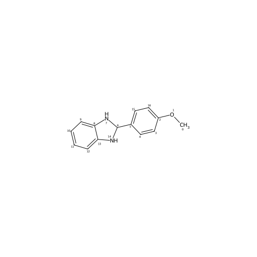 COc1ccc(C2Nc3ccccc3N2)cc1